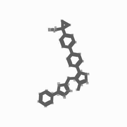 CCOC(=O)C1(c2ccc(-c3ccc(-c4onc(C)c4Cc4nnc(-c5ccccc5)o4)cc3)cc2)CC1